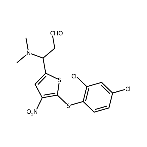 CN(C)C(CC=O)c1cc([N+](=O)[O-])c(Sc2ccc(Cl)cc2Cl)s1